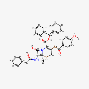 COc1ccc(C(=O)SC2=C(C(=O)OC(c3ccccc3)c3ccccc3)N3C(=O)C(NC(=O)Cc4ccccc4)[C@@H]3SC2)cc1